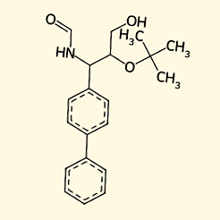 CC(C)(C)OC(CO)C(NC=O)c1ccc(-c2ccccc2)cc1